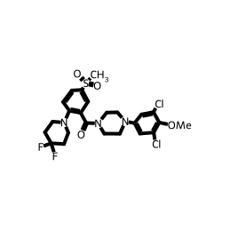 COc1c(Cl)cc(N2CCN(C(=O)c3cc(S(C)(=O)=O)ccc3N3CCC(F)(F)CC3)CC2)cc1Cl